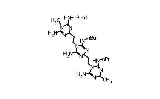 CCCCCNC1=NC(CCN2C(N)=NC(CCN3C(N)=NC(C)N=C3NCCC)N=C2NCCCC)N=C(N)N1C